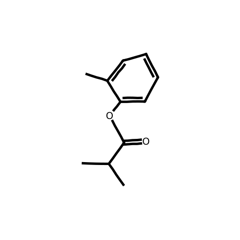 Cc1ccccc1OC(=O)C(C)C